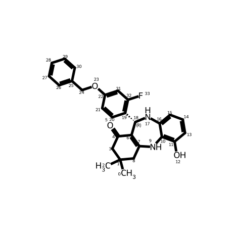 CC1(C)CC(=O)C2=C(C1)Nc1c(O)cccc1N[C@H]2c1ccc(OCc2ccccc2)cc1F